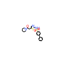 O=C(Cc1cnc(NS(=O)(=O)c2ccc(-c3ccccc3)cc2)s1)N1CCCCC1